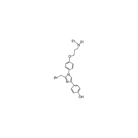 CCN(CC)CCCOc1ccc(-n2cc(-c3ccc(O)cc3)nc2CC(C)C)cc1